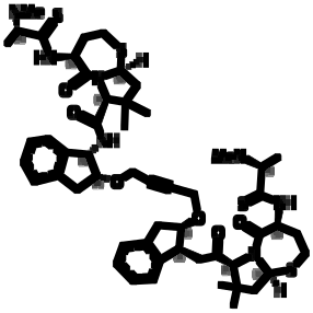 CN[C@@H](C)C(=S)N[C@H]1CCS[C@H]2CC(C)(C)[C@@H](C(=O)C[C@H]3c4ccccc4C[C@H]3OCC#CCO[C@@H]3Cc4ccccc4[C@@H]3NC(=O)[C@H]3N4C(=O)[C@@H](NC(=S)[C@H](C)NC)CCS[C@H]4CC3(C)C)N2C1=O